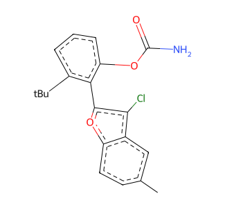 Cc1ccc2oc(-c3c(OC(N)=O)cccc3C(C)(C)C)c(Cl)c2c1